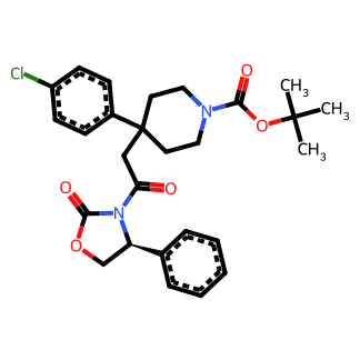 CC(C)(C)OC(=O)N1CCC(CC(=O)N2C(=O)OC[C@@H]2c2ccccc2)(c2ccc(Cl)cc2)CC1